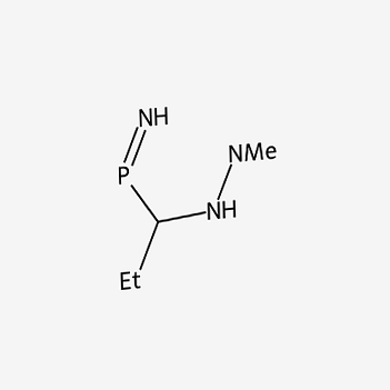 CCC(NNC)P=N